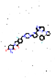 O=C1CCC(N2Cc3c(ccc(CN4CCN(c5cccc(-c6cnc7ccc(N8CCC[C@@H]8c8cccc(F)c8)nn67)n5)CC4)c3F)C2=O)C(=O)N1